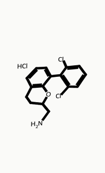 Cl.NCC1CCc2cccc(-c3c(Cl)cccc3Cl)c2O1